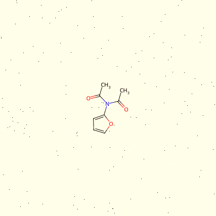 CC(=O)N(C(C)=O)c1ccco1